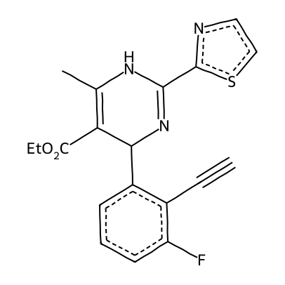 C#Cc1c(F)cccc1C1N=C(c2nccs2)NC(C)=C1C(=O)OCC